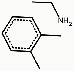 CCN.Cc1ccccc1C